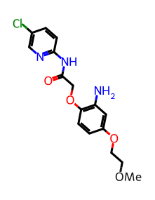 COCCOc1ccc(OCC(=O)Nc2ccc(Cl)cn2)c(N)c1